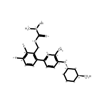 CCCN(C)C(=O)OCc1c(-c2ccc(O[C@H]3CCC[C@H](C(=O)O)C3)c(C)n2)ccc(F)c1F